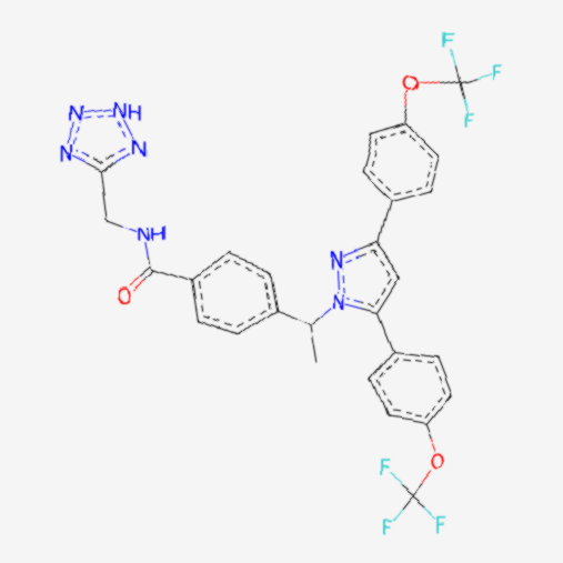 CC(c1ccc(C(=O)NCc2nn[nH]n2)cc1)n1nc(-c2ccc(OC(F)(F)F)cc2)cc1-c1ccc(OC(F)(F)F)cc1